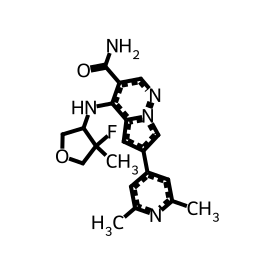 Cc1cc(-c2cc3c(NC4COCC4(C)F)c(C(N)=O)cnn3c2)cc(C)n1